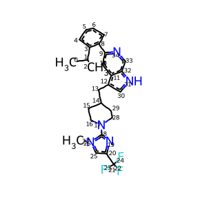 CC(C)c1ccccc1-c1cc2c(CC3CCN(c4nc(C(F)(F)F)cn4C)CC3)c[nH]c2cn1